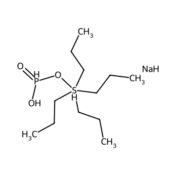 CCC[SH](CCC)(CCC)(CCC)O[PH](=O)O.[NaH]